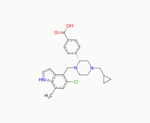 Cc1cc(Cl)c(CN2CCN(CC3CC3)C[C@H]2c2ccc(C(=O)O)cc2)c2cc[nH]c12